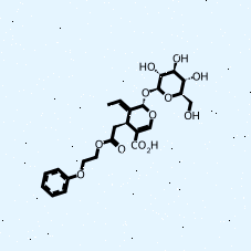 C/C=C1/[C@H](O[C@@H]2O[C@H](CO)[C@@H](O)[C@H](O)[C@H]2O)OC=C(C(=O)O)[C@H]1CC(=O)OCCOc1ccccc1